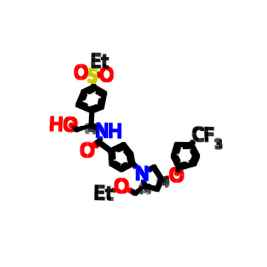 CCOC[C@@H]1C[C@@H](Oc2ccc(C(F)(F)F)cc2)CN1c1ccc(C(=O)N[C@@H](CO)c2ccc(S(=O)(=O)CC)cc2)cc1